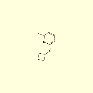 Cc1cccc(OC2CCC2)n1